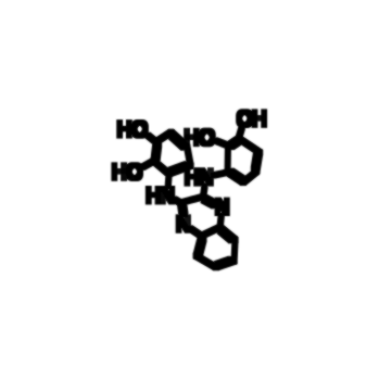 Oc1cccc(Nc2nc3ccccc3nc2Nc2cccc(O)c2O)c1O